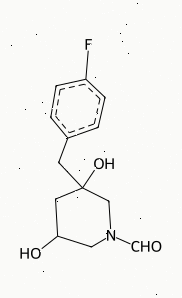 O=CN1CC(O)CC(O)(Cc2ccc(F)cc2)C1